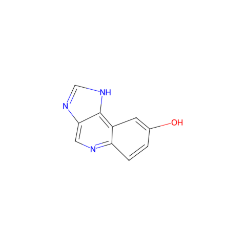 Oc1ccc2ncc3nc[nH]c3c2c1